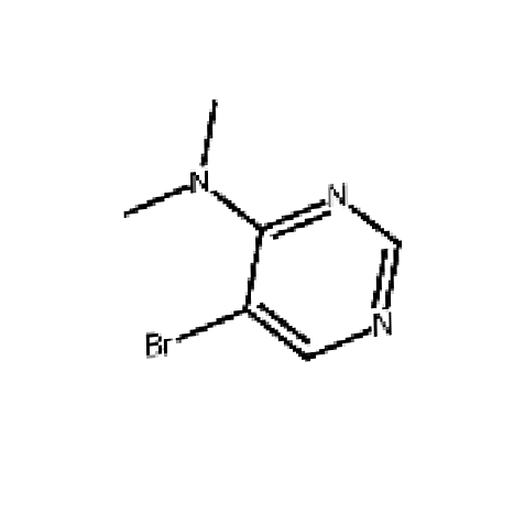 CN(C)c1ncncc1Br